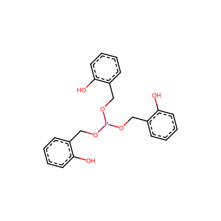 Oc1ccccc1COP(OCc1ccccc1O)OCc1ccccc1O